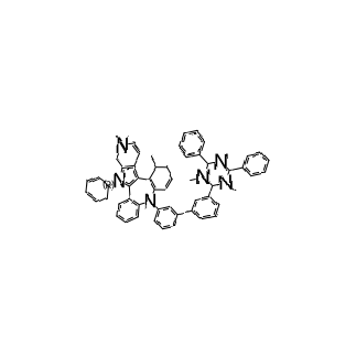 CC1CC=CC2=C1c1c3c(n([C@H]4C=CC=CC4)c1-c1ccccc1N2c1cccc(-c2cccc(C4N(C)C(c5ccccc5)=NC(c5ccccc5)N4C)c2)c1)CN(C)C=C3